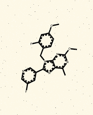 COc1ccc(Cn2c(-c3cncc(F)c3)nc3c(C)nc(OC)nc32)c(F)c1